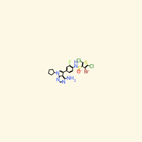 Nc1ncnc2c1c(-c1ccc(N[S+]([O-])c3c(Cl)sc(Cl)c3Br)c(F)c1)cn2C1CCCC1